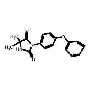 CC1(C)NC(=O)N(c2ccc(Oc3ccccc3)cc2)C1=O